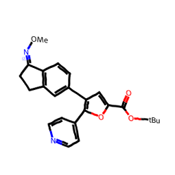 CO/N=C1/CCc2cc(-c3cc(C(=O)OC(C)(C)C)oc3-c3ccncc3)ccc21